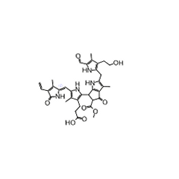 C=CC1=C(C)/C(=C/c2[nH]c(C3c4[nH]c(Cc5[nH]c(C=O)c(C)c5CCO)c(C)c4C(=O)C3C(=O)OC)c(CCC(=O)O)c2C)NC1=O